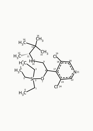 CC[Si](CC)(CC)OC(CN[C@H](C)C(C)(C)C)c1c(Cl)cncc1Cl